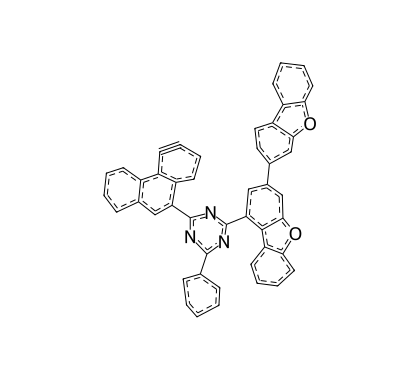 c1ccc2c(-c3nc(-c4ccccc4)nc(-c4cc(-c5ccc6c(c5)oc5ccccc56)cc5oc6ccccc6c45)n3)cc3ccccc3c2c#1